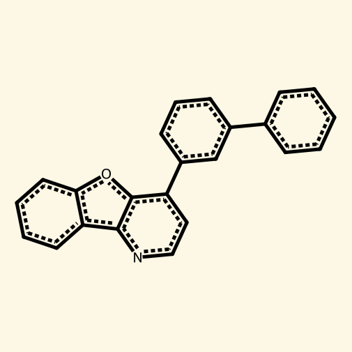 c1ccc(-c2cccc(-c3ccnc4c3oc3ccccc34)c2)cc1